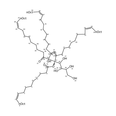 CCCCCCCC/C=C\CCCCCCCC(=O)O[C@@](C(=O)CCCCCCC/C=C\CCCCCCCC)(C(O)C(O)C(O)CO)C(O)(C(=O)CCCCCCC/C=C\CCCCCCCC)C(=O)CCCCCCC/C=C\CCCCCCCC